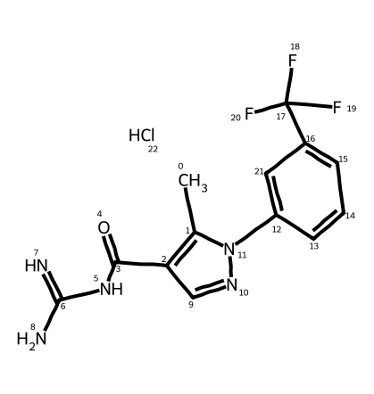 Cc1c(C(=O)NC(=N)N)cnn1-c1cccc(C(F)(F)F)c1.Cl